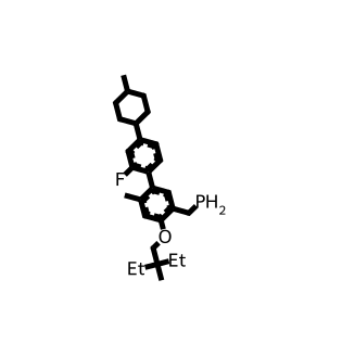 CCC(C)(CC)COc1cc(C)c(-c2ccc(C3CCC(C)CC3)cc2F)cc1CP